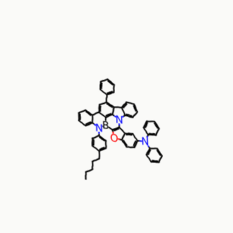 CCCCCc1ccc(N2B3c4oc5ccc(N(c6ccccc6)c6ccccc6)cc5c4-n4c5ccccc5c5c(-c6ccccc6)cc(c3c54)-c3ccccc32)cc1